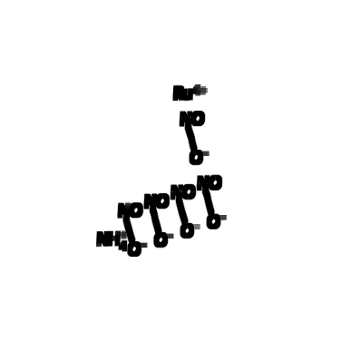 O=N[O-].O=N[O-].O=N[O-].O=N[O-].O=N[O-].[NH4+].[Ru+4]